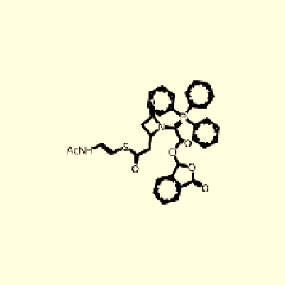 CC(=O)NC=CSC(=O)CC1CC(=O)N1C(C(=O)OC1OC(=O)c2ccccc21)=P(c1ccccc1)(c1ccccc1)c1ccccc1